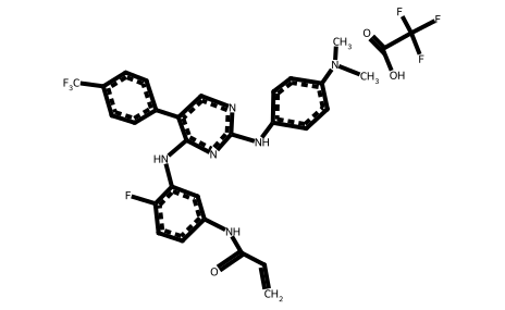 C=CC(=O)Nc1ccc(F)c(Nc2nc(Nc3ccc(N(C)C)cc3)ncc2-c2ccc(C(F)(F)F)cc2)c1.O=C(O)C(F)(F)F